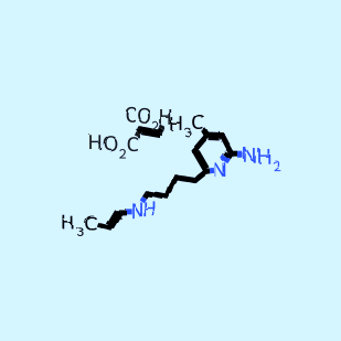 C/C=C/NCCCCc1cc(C)cc(N)n1.O=C(O)/C=C/C(=O)O